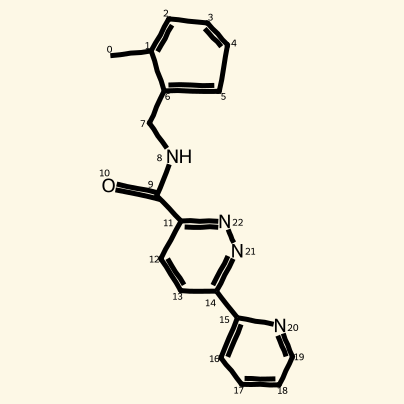 Cc1ccccc1CNC(=O)c1ccc(-c2ccccn2)nn1